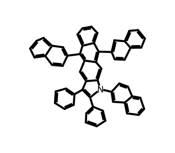 c1ccc(-c2c(-c3ccccc3)n(-c3ccc4ccccc4c3)c3cc4c(-c5ccc6ccccc6c5)c5ccccc5c(-c5ccc6ccccc6c5)c4cc23)cc1